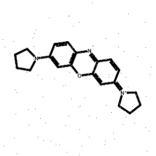 c1cc2nc3ccc(=[N+]4CCCC4)cc-3oc2cc1N1CCCC1